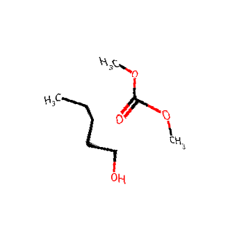 CCCCO.COC(=O)OC